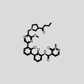 CCCC(=O)C1CCN(Cc2ncc(-c3cccc(-c4cccc(NC(=O)c5ccnn(C)c5=O)c4Cl)c3Cl)nc2OC)C1